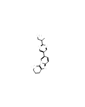 CC(CO)c1ncc(-c2ccc3nc4c(n3c2)NCCC4)cn1